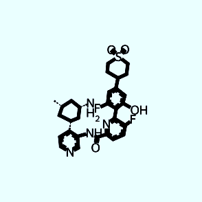 C[C@@H]1C[C@H](N)C[C@H](c2ccncc2NC(=O)c2ccc(F)c(-c3c(O)cc(C4CCS(=O)(=O)CC4)cc3F)n2)C1